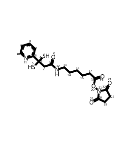 O=C(CC(S)(S)c1ccccn1)NCCCCCC(=O)ON1C(=O)CCC1=O